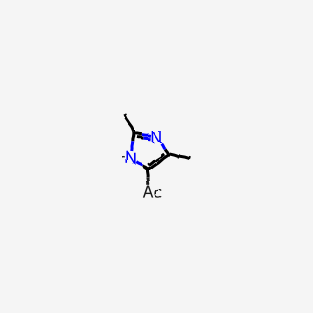 CC(=O)C1=C(C)N=C(C)[N]1